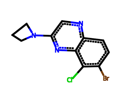 Clc1c(Br)ccc2ncc(N3CCC3)nc12